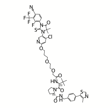 Cc1ncsc1-c1ccc(CNC(=O)[C@@H]2CCCN2C(=O)[C@@H](NC(=O)COCCOCCCOc2cc(Cl)c(N3C(=S)N(c4ccc(C#N)c(C(F)(F)F)c4F)C(=O)C3(C)C)cn2)C(C)(C)C)cc1